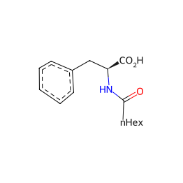 CCCCCCC(=O)N[C@@H](Cc1ccccc1)C(=O)O